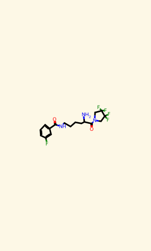 NC(CCCCNC(=O)c1cccc(F)c1)C(=O)N1CC(F)(F)C(F)(F)C1